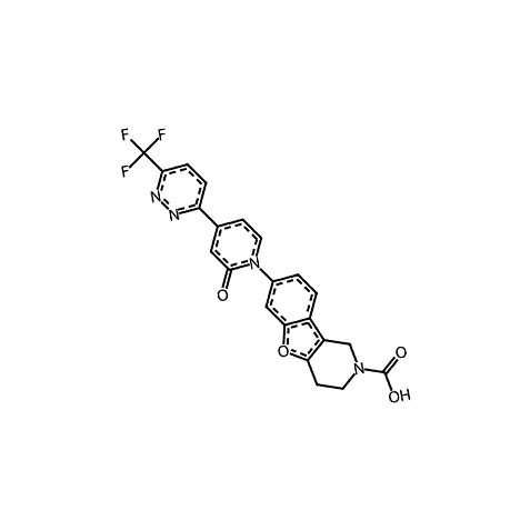 O=C(O)N1CCc2oc3cc(-n4ccc(-c5ccc(C(F)(F)F)nn5)cc4=O)ccc3c2C1